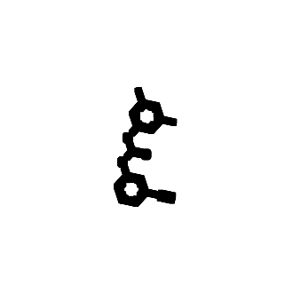 C#Cc1cccc(OC(=O)Oc2cc(C)cc(C)c2)c1